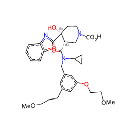 COCCCc1cc(CN(C(=O)[C@H]2CN(C(=O)O)CC[C@]2(O)c2nc3ccccc3o2)C2CC2)cc(OCCOC)c1